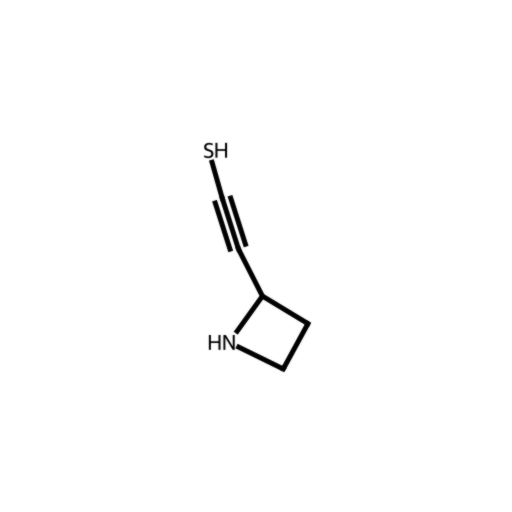 SC#CC1CCN1